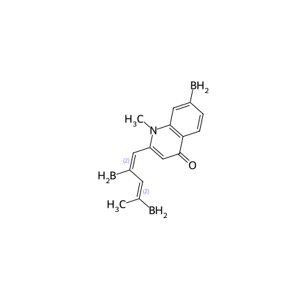 B/C(C)=C/C(B)=C\c1cc(=O)c2ccc(B)cc2n1C